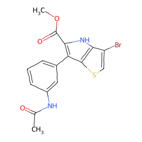 COC(=O)c1[nH]c2c(Br)csc2c1-c1cccc(NC(C)=O)c1